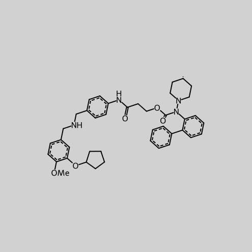 COc1ccc(CNCc2ccc(NC(=O)CCOC(=O)N(c3ccccc3-c3ccccc3)N3CC[CH]CC3)cc2)cc1OC1CCCC1